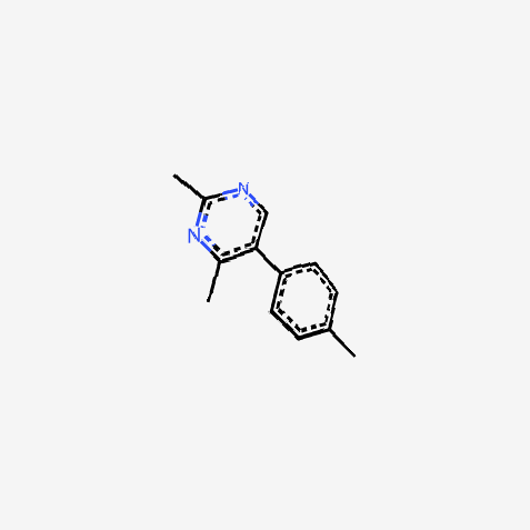 Cc1ccc(-c2cnc(C)nc2C)cc1